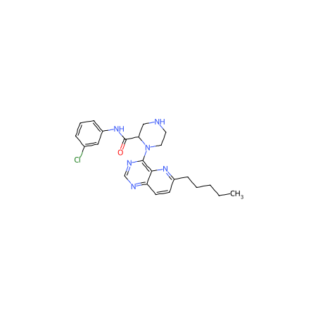 CCCCCc1ccc2ncnc(N3CCNCC3C(=O)Nc3cccc(Cl)c3)c2n1